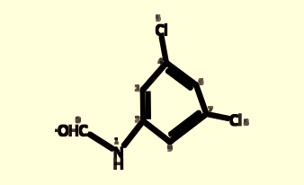 O=[C]Nc1cc(Cl)cc(Cl)c1